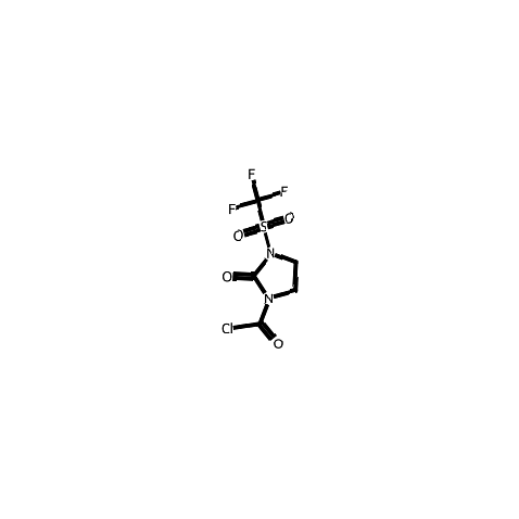 O=C(Cl)N1CCN(S(=O)(=O)C(F)(F)F)C1=O